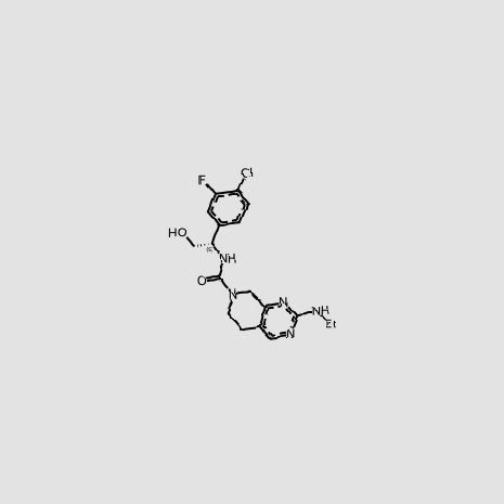 CCNc1ncc2c(n1)CN(C(=O)N[C@H](CO)c1ccc(Cl)c(F)c1)CC2